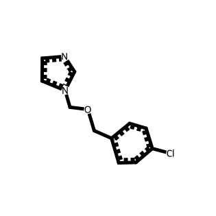 Clc1ccc(COCn2ccnc2)cc1